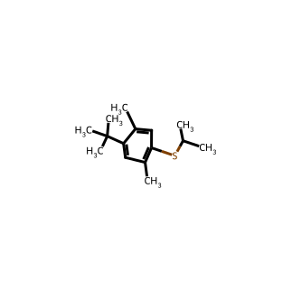 Cc1cc(C(C)(C)C)c(C)cc1SC(C)C